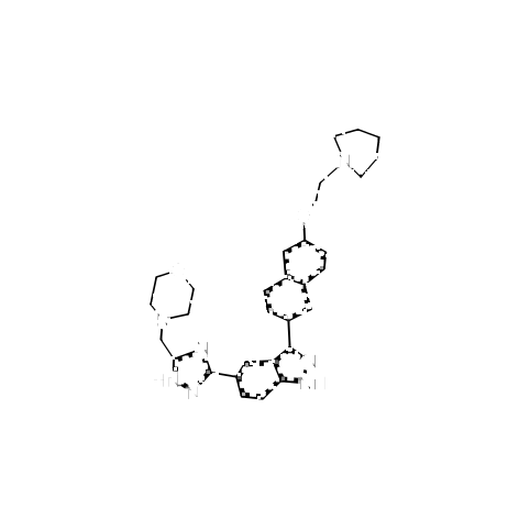 c1cc2cc(-c3n[nH]c4ccc(-c5n[nH]c(CN6CCOCC6)n5)cc34)ccc2cc1OCCN1CCCCC1